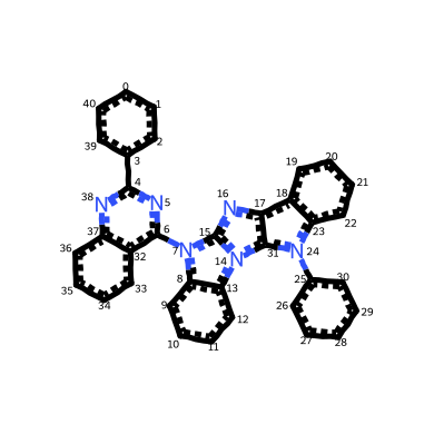 c1ccc(-c2nc(-n3c4ccccc4n4c3nc3c5ccccc5n(-c5ccccc5)c34)c3ccccc3n2)cc1